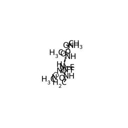 C=CC(=O)Nc1cc(NC2CCN(C)CC2)c2nc(C#CCNc3ccc(C(=O)NC)cc3OC)c(CC(F)(F)F)n2c1